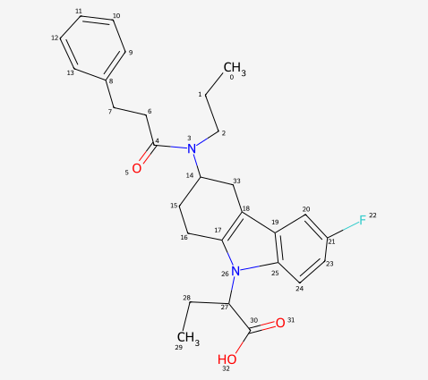 CCCN(C(=O)CCc1ccccc1)C1CCc2c(c3cc(F)ccc3n2C(CC)C(=O)O)C1